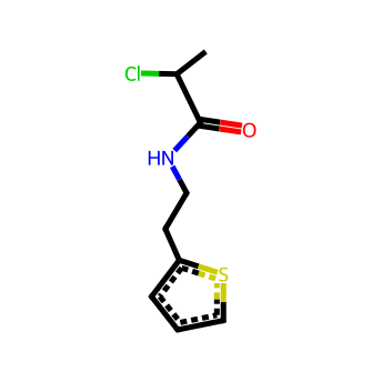 CC(Cl)C(=O)NCCc1cccs1